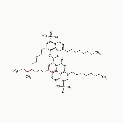 CCCCCCCCc1ccc2c(P(=O)(O)O)cc(CCCCCCCC)c(OC(=O)c3ccccc3C(=O)Oc3c(CCCCCCCC)cc(P(=O)(O)O)c4ccc(CCCCCCCC)cc34)c2c1